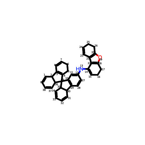 C1=CC2C3=C(CCC=C3)C3(c4cc(NC5=CCCc6oc7c(c65)C=CCC7)ccc4C4C=CC=CC43)C2C=C1